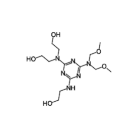 COCN(COC)c1nc(NCCO)nc(N(CCO)CCO)n1